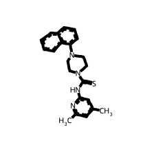 Cc1cc(C)nc(NC(=S)N2CCN(c3cccc4ccccc34)CC2)c1